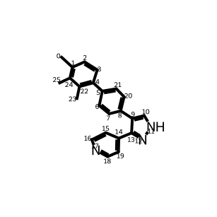 Cc1ccc(-c2ccc(-c3c[nH]nc3-c3ccncc3)cc2)c(C)c1C